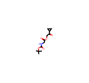 CC(C)(C)OC(=O)NCC(=O)OCC(=O)C1CC1